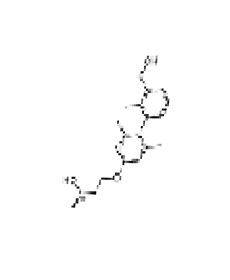 Cc1cc(OCC[C@@H](C)O)nc(C)c1-c1cccc(CO)c1C